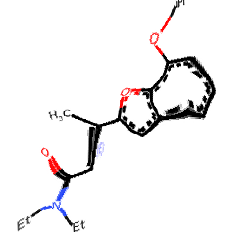 CCN(CC)C(=O)/C=C(\C)c1cc2cccc(OC(C)C)c2o1